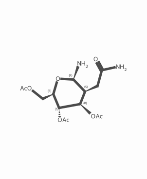 CC(=O)OC[C@H]1O[C@@H](N)[C@@H](CC(N)=O)[C@@H](OC(C)=O)[C@@H]1OC(C)=O